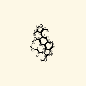 COC[C@@H](C)n1c(OC)nc2cnc3cc(-c4c(C)noc4C)c(OC)cc3c21